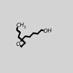 CCCCC1(CCCCCO)CCO1